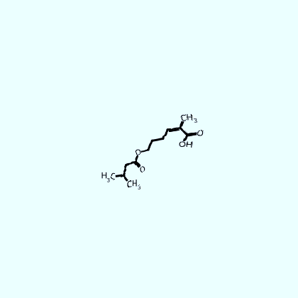 CC(=CCCCOC(=O)CC(C)C)C(=O)O